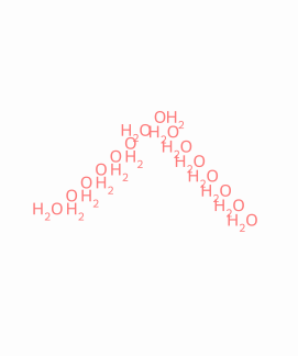 O.O.O.O.O.O.O.O.O.O.O.O.O.O.O